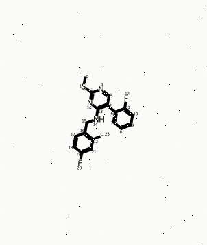 CSc1ncc(-c2ccccc2F)c(NCc2ccc(F)cc2F)n1